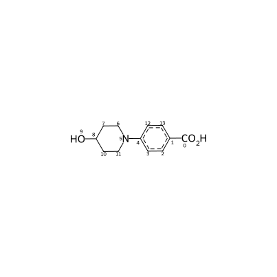 O=C(O)c1ccc(N2CCC(O)CC2)cc1